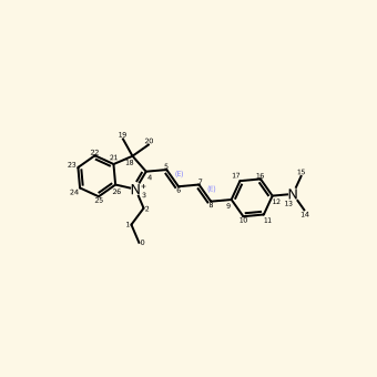 CCC[N+]1=C(/C=C/C=C/c2ccc(N(C)C)cc2)C(C)(C)c2ccccc21